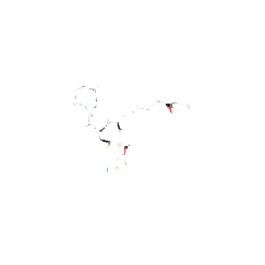 CC(=O)O.Cl.O=C(CO)NCCCOc1cccc(CN2CCCCC2)c1